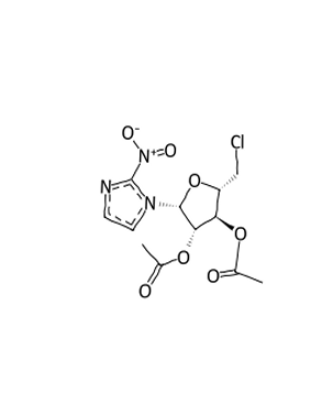 CC(=O)O[C@H]1[C@H](OC(C)=O)[C@@H](CCl)O[C@H]1n1ccnc1[N+](=O)[O-]